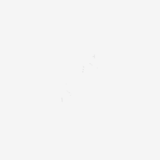 O=C(O)C=CCCOC(=O)CCl